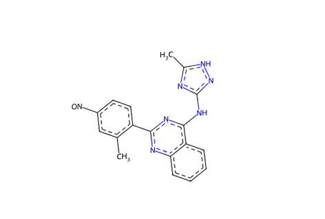 Cc1nc(Nc2nc(-c3ccc(N=O)cc3C)nc3ccccc23)n[nH]1